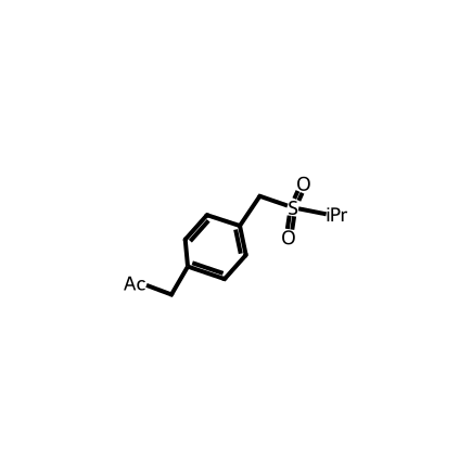 CC(=O)Cc1ccc(CS(=O)(=O)C(C)C)cc1